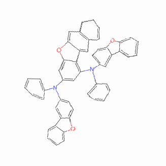 C1=Cc2cc3c(cc2CC1)oc1cc(N(c2ccccc2)c2ccc4oc5ccccc5c4c2)cc(N(c2ccccc2)c2ccc4oc5ccccc5c4c2)c13